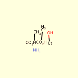 CC(=O)O.CC(=O)O.CCO.N